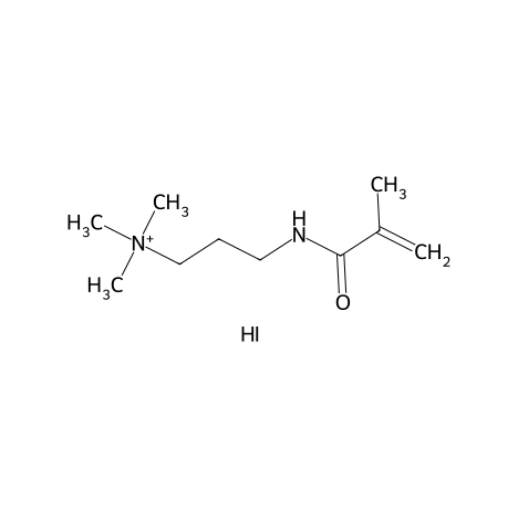 C=C(C)C(=O)NCCC[N+](C)(C)C.I